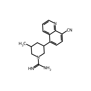 CC1CC(c2ccc(C#N)c3ncccc23)CN(C(=N)N)C1